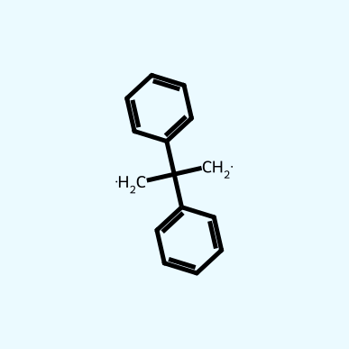 [CH2]C([CH2])(c1ccccc1)c1ccccc1